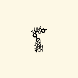 Cc1cccc([C@H](C)NC(=O)c2cn(C)c3ccc(-c4ccn5nc(NC(=O)C6(C#N)CC6)nc5c4)cc23)c1